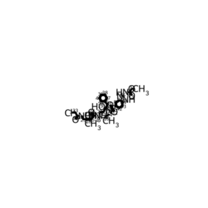 COC(=O)Nc1nc2cc(S(=O)(=O)N(CC(C)C)C(O)(CCNC(=O)CC(C)(C)CNC(=O)CCl)Cc3ccccc3)ccc2[nH]1